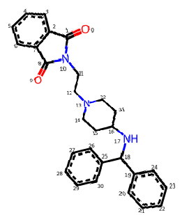 O=C1c2ccccc2C(=O)N1CCN1CCC(NC(c2ccccc2)c2ccccc2)CC1